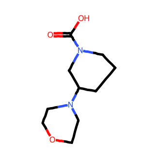 O=C(O)N1CCCC(N2CCOCC2)C1